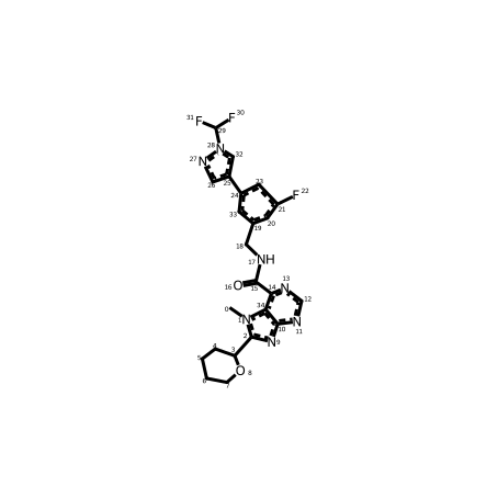 Cn1c(C2CCCCO2)nc2ncnc(C(=O)NCc3cc(F)cc(-c4cnn(C(F)F)c4)c3)c21